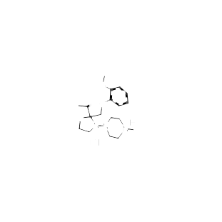 COc1ccccc1OCC1(C(C)=O)SCCN1N1CCN(C)CC1.Cl.Cl